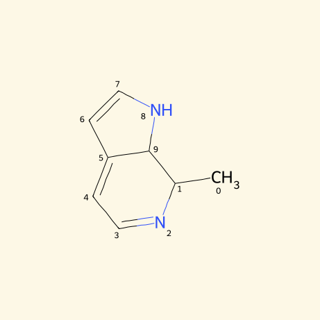 CC1N=CC=C2C=CNC21